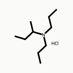 CCCN(CCC)C(C)CC.Cl